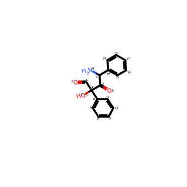 NC(C(=O)C(O)([C]=O)c1ccccc1)c1ccccc1